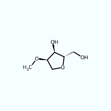 CO[C@@H]1CO[C@@H](CO)[C@@H]1O